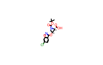 CC(C)(C)OC(=O)N1C[C@H](Oc2noc3cc(Cl)ccc23)C[C@H]1C(=O)O